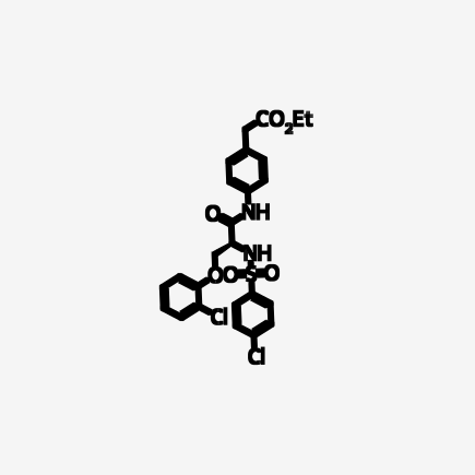 CCOC(=O)Cc1ccc(NC(=O)[C@H](COc2ccccc2Cl)NS(=O)(=O)c2ccc(Cl)cc2)cc1